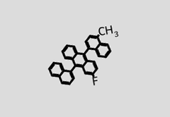 Cc1ccc(-c2c3ccccc3c(-c3cccc4ccccc34)c3cc(F)ccc23)c2ccccc12